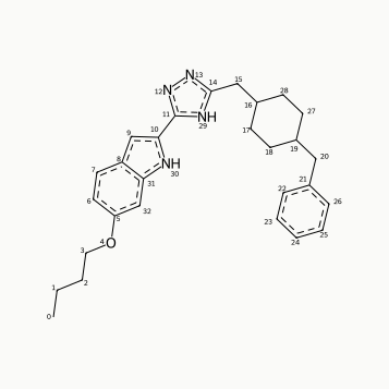 CCCCOc1ccc2cc(-c3nnc(CC4CCC(Cc5ccccc5)CC4)[nH]3)[nH]c2c1